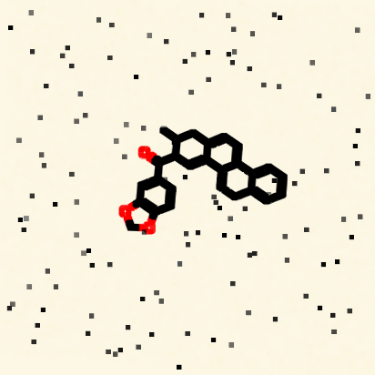 CC1Cc2ccc3c(c2=CC1C(=O)c1ccc2c(c1)OCO2)=CCc1ccccc1-3